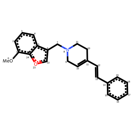 COc1cccc2c(CN3CC=C(C=Cc4ccccc4)CC3)coc12